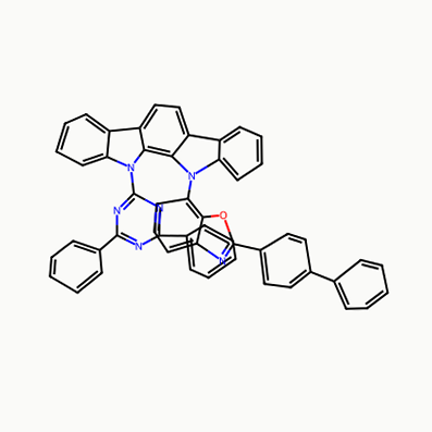 c1ccc(-c2ccc(-c3nc4cccc(-n5c6ccccc6c6ccc7c8ccccc8n(-c8nc(-c9ccccc9)nc(-c9ccccc9)n8)c7c65)c4o3)cc2)cc1